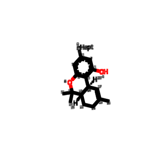 CCCCCCCc1cc(O)c2c(c1)OC(C)(C)[C@H]1CCC(C)=C[C@H]21